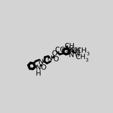 Cc1cc(CC(OC(=O)N2CCC(N3CCc4ccccc4NC3=O)CC2)C(=O)O)cc2nc(N(C)C)[nH]c12